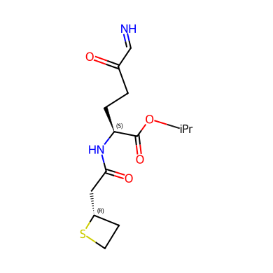 CC(C)OC(=O)[C@H](CCC(=O)C=N)NC(=O)C[C@@H]1CCS1